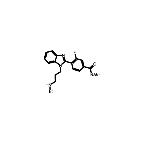 CCNCCCn1c(-c2ccc(C(=O)NC)cc2F)nc2ccccc21